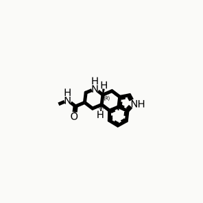 CNC(=O)C1CN[C@@H]2Cc3c[nH]c4cccc(c34)[C@H]2C1